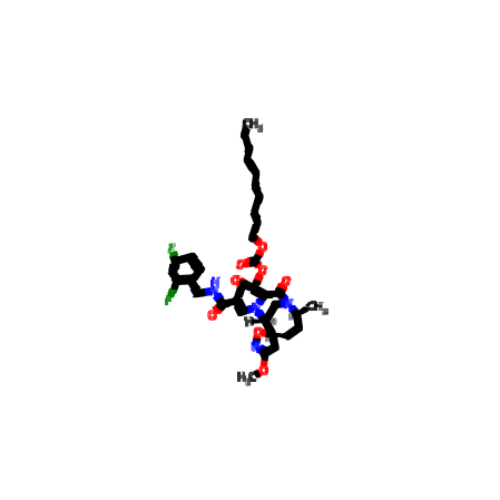 CCCCCCCCCCOC(=O)Oc1c2n(cc(C(=O)NCc3ccc(F)cc3F)c1=O)[C@@H]1CN(C2=O)[C@@H](C)CC[C@]12CC(OC)=NO2